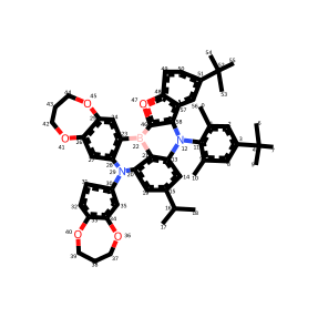 Cc1cc(C(C)(C)C)cc(C)c1N1c2cc(C(C)C)cc3c2B(c2cc4c(cc2N3c2ccc3c(c2)OCCCO3)OCCCO4)c2oc3ccc(C(C)(C)C)cc3c21